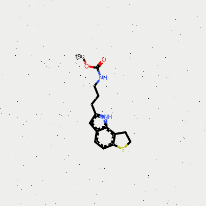 CC(C)(C)OC(=O)NCCCc1cc2ccc3c(c2[nH]1)CCS3